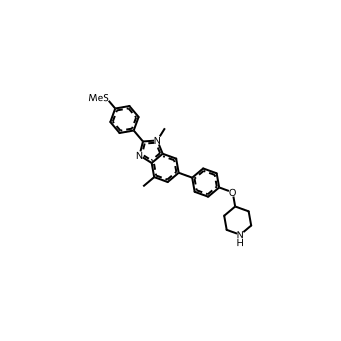 CSc1ccc(-c2nc3c(C)cc(-c4ccc(OC5CCNCC5)cc4)cc3n2C)cc1